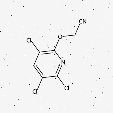 N#CCOc1nc(Cl)c(Cl)cc1Cl